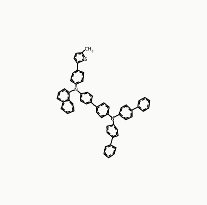 Cc1ccc(-c2ccc(N(c3ccc(-c4ccc(N(c5ccc(-c6ccccc6)cc5)c5ccc(-c6ccccc6)cc5)cc4)cc3)c3cccc4ccccc34)cc2)s1